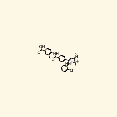 C/N=C(\C=C(/Nc1ccccc1Cl)c1ccc(C(=O)Nc2ccc(C(=O)O)cc2C)cc1)C(C)(F)F